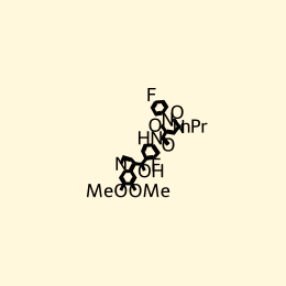 CCCn1cc(C(=O)Nc2ccc(C(O)c3ccnc4cc(OC)c(OC)cc34)c(F)c2)c(=O)n(-c2ccc(F)cc2)c1=O